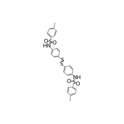 Cc1ccc(S(=O)(=O)Nc2ccc(SSc3ccc(NS(=O)(=O)c4ccc(C)cc4)cc3)cc2)cc1